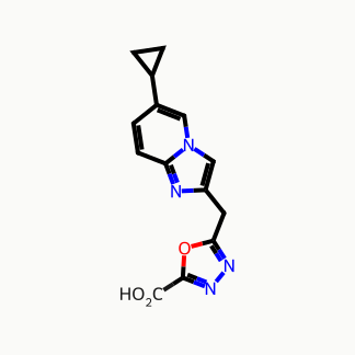 O=C(O)c1nnc(Cc2cn3cc(C4CC4)ccc3n2)o1